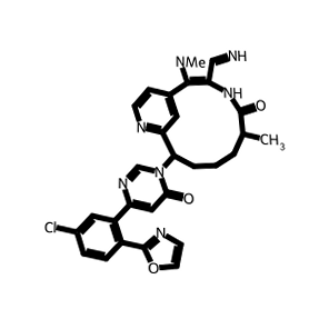 CN/C1=C(\C=N)NC(=O)C(C)CCCC(n2cnc(-c3cc(Cl)ccc3-c3ncco3)cc2=O)c2cc1ccn2